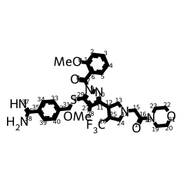 COc1ccccc1C(=O)n1nc(C2CN(CC(=O)N3CCOCC3)CC2C(F)(F)F)c(OC)c1SCc1ccc(C(=N)N)cc1